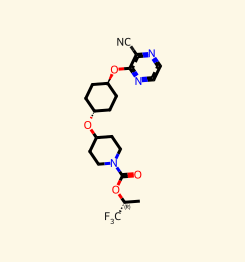 C[C@@H](OC(=O)N1CCC(O[C@H]2CC[C@H](Oc3nccnc3C#N)CC2)CC1)C(F)(F)F